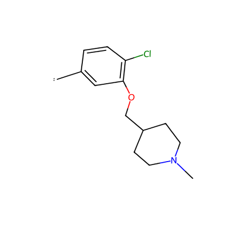 [CH]c1ccc(Cl)c(OCC2CCN(C)CC2)c1